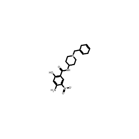 Nc1cc(O)c(C(=O)NC2CCN(CC3=CCC=CC3)CC2)cc1[N+](=O)[O-]